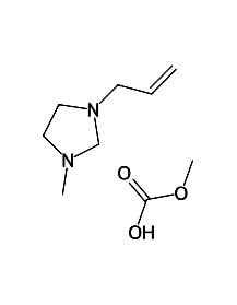 C=CCN1CCN(C)C1.COC(=O)O